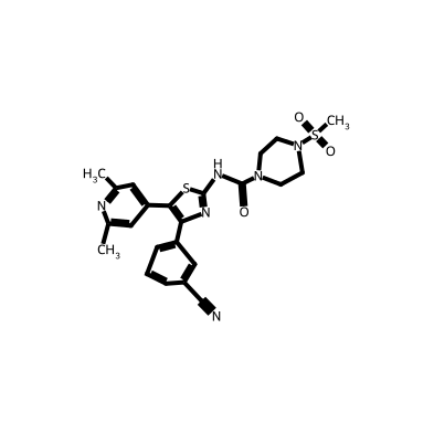 Cc1cc(-c2sc(NC(=O)N3CCN(S(C)(=O)=O)CC3)nc2-c2cccc(C#N)c2)cc(C)n1